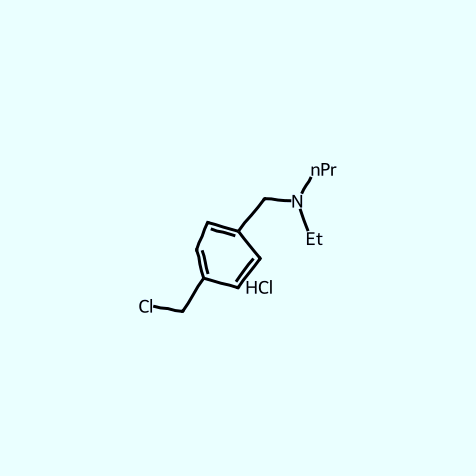 CCCN(CC)Cc1ccc(CCl)cc1.Cl